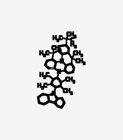 Cc1c(C)c(-n2c3ccccc3c3ccccc32)c(C)c(C)c1N1c2cccc3c2N2c4c1cccc4C(C)(C)c1cc(C(C)(C)C)cc(c12)C3(C)C